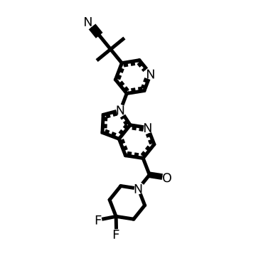 CC(C)(C#N)c1cncc(-n2ccc3cc(C(=O)N4CCC(F)(F)CC4)cnc32)c1